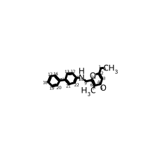 CCc1cc(=O)c(C)c(CNc2ccc(-c3ccccc3)cc2)o1